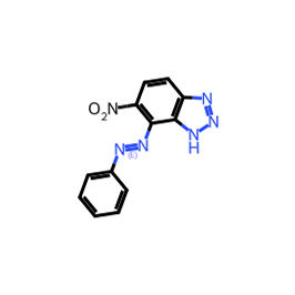 O=[N+]([O-])c1ccc2nn[nH]c2c1/N=N/c1ccccc1